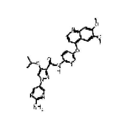 COc1cc2nccc(Oc3ccc(NC(=O)c4nn(-c5cnc(N)nc5)cc4OC(C)C)nc3)c2cc1OC